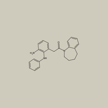 Nc1cccc(CC(=O)N2CCCCc3ccccc32)c1Nc1ccccc1